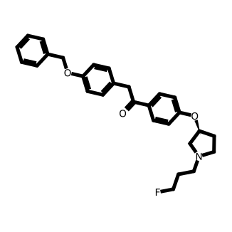 O=C(Cc1ccc(OCc2ccccc2)cc1)c1ccc(O[C@H]2CCN(CCCF)C2)cc1